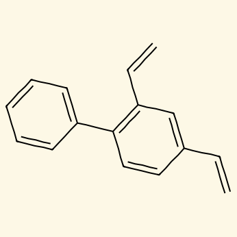 C=Cc1ccc(-c2ccccc2)c(C=C)c1